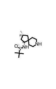 C[C@H]1C[C@@H](N[S+]([O-])C(C)(C)C)C2(CCNCC2)C1